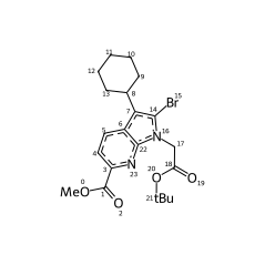 COC(=O)c1ccc2c(C3CCCCC3)c(Br)n(CC(=O)OC(C)(C)C)c2n1